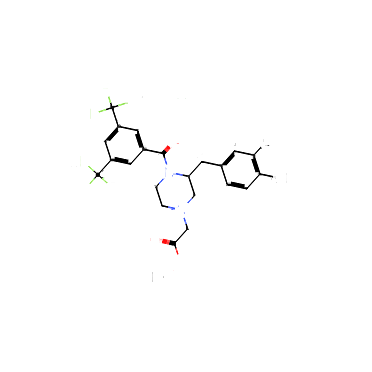 COC(=O)CN1CCN(C(=O)c2cc(C(F)(F)F)cc(C(F)(F)F)c2)C(Cc2ccc(C)c(C)c2)C1.Cl